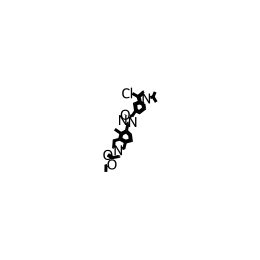 CCOC(=O)CN1CCc2c(ccc(-c3noc(-c4ccc5c(c4)c(Cl)cn5C(C)C)n3)c2C)C1